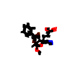 COC(=O)C(C)(CC(C)(C#N)CCC(=O)O)SC(=S)c1ccccc1